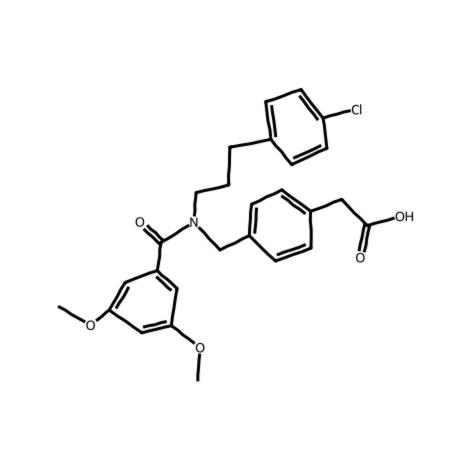 COc1cc(OC)cc(C(=O)N(CCCc2ccc(Cl)cc2)Cc2ccc(CC(=O)O)cc2)c1